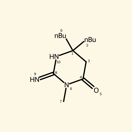 CCCCC1(CCCC)CC(=O)N(C)C(=N)N1